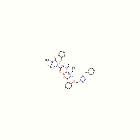 CC(C)C[C@@H](NC(=O)c1ccccc1OCc1cn(Cc2ccccc2)nn1)C(=O)N1CCC[C@@H]1C(=O)N(C)[C@@H](Cc1ccccc1)C(=O)N(C)C